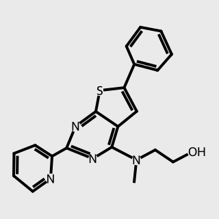 CN(CCO)c1nc(-c2ccccn2)nc2sc(-c3ccccc3)cc12